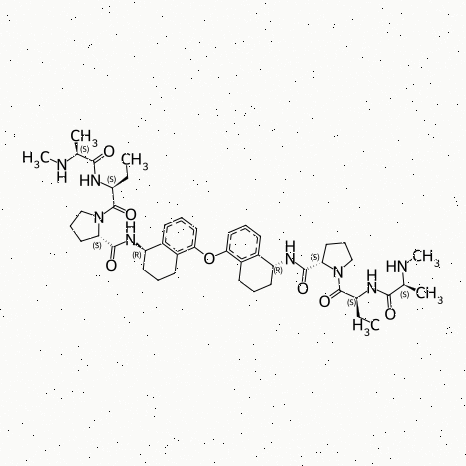 CC[C@H](NC(=O)[C@H](C)NC)C(=O)N1CCC[C@H]1C(=O)N[C@@H]1CCCc2c(Oc3cccc4c3CCC[C@H]4NC(=O)[C@@H]3CCCN3C(=O)[C@H](CC)NC(=O)[C@H](C)NC)cccc21